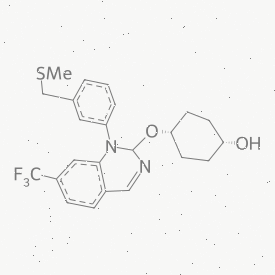 CSCc1cccc(N2c3cc(C(F)(F)F)ccc3C=NC2O[C@H]2CC[C@@H](O)CC2)c1